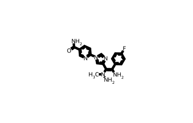 CN(N)/C(=C(\N)c1ccc(F)cc1)c1cn(-c2ccc(C(N)=O)cn2)cn1